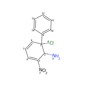 NC1C([N+](=O)[O-])=CC=CC1(Cl)c1ccccc1